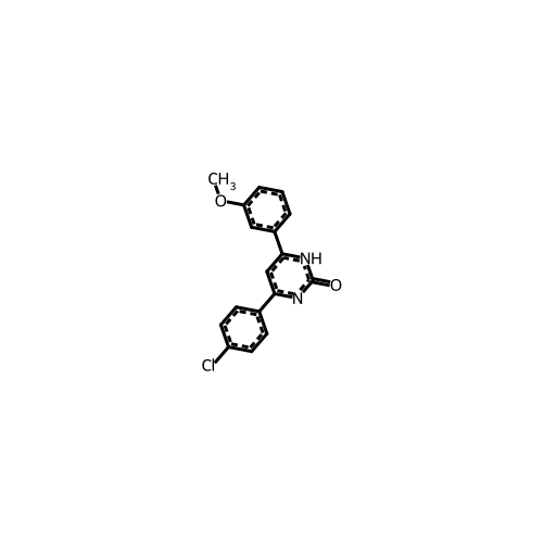 COc1cccc(-c2cc(-c3ccc(Cl)cc3)nc(=O)[nH]2)c1